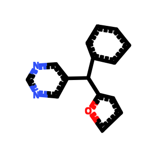 c1ccc(C(c2cncnc2)c2ccco2)cc1